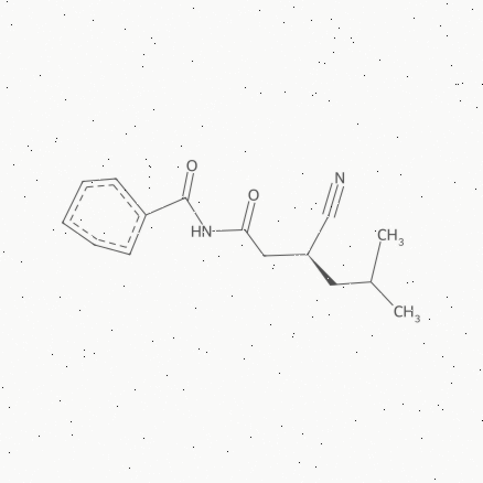 CC(C)C[C@H](C#N)CC(=O)NC(=O)c1ccccc1